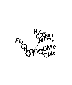 CCN1CCN(c2cccc3c2CN([C@H](CCCNC(=O)c2c(C)n[nH]c2C)c2ccc(OC)c(OC)c2)C3=O)CC1